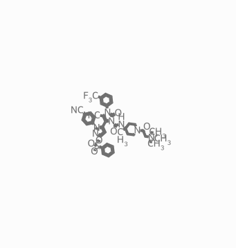 Cc1c(-c2ccnn2-c2ccc(C#N)cc2)n(C(=O)NC2(C)CCN(C(=O)C[N+](C)(C)C)CC2)c(=O)n1-c1cccc(C(F)(F)F)c1.O=S(=O)([O-])c1ccccc1